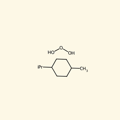 CC1CCC(C(C)C)CC1.OOO